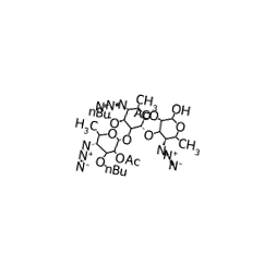 CCCCOC1C(OC(C)=O)[C@@H](OC2[C@@H](OC3[C@H](N=[N+]=[N-])C(C)OC(O)[C@@H]3OC(C)=O)OC(C)[C@@H](N=[N+]=[N-])[C@@H]2OCCCC)OC(C)[C@H]1N=[N+]=[N-]